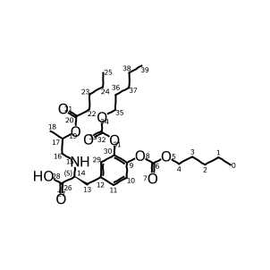 CCCCCOC(=O)Oc1ccc(C[C@H](NCC(C)OC(=O)CCCC)C(=O)O)cc1OC(=O)OCCCCC